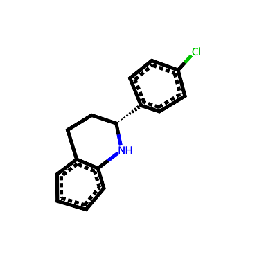 Clc1ccc([C@H]2CCc3ccccc3N2)cc1